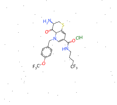 Cl.N[C@H]1CSC2=CC(C(=O)NCCCC(F)(F)F)=CN(Cc3ccc(OC(F)(F)F)cc3)C2C1=O